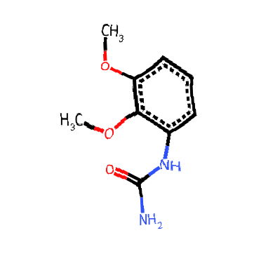 COc1cccc(NC(N)=O)c1OC